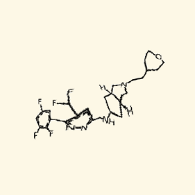 Fc1cc(F)c(F)c(-c2nnc(N[C@H]3C[C@@H]4CN(CCC5CCOCC5)C[C@@H]4C3)cc2C(F)F)c1